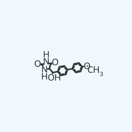 COc1ccc(-c2ccc(C(O)C3NC(=O)NC3=O)cc2)cc1